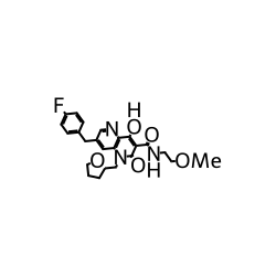 COCCNC(=O)c1c(O)c2ncc(Cc3ccc(F)cc3)cc2n(CC2CCCO2)c1=O